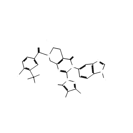 Cc1nn(-c2nc3c(c(=O)n2-c2ccc4c(c2)ncn4C)C[C@@H](C)N(C(=O)c2ccc(Br)c(C(F)(F)F)c2)C3)c(C)c1F